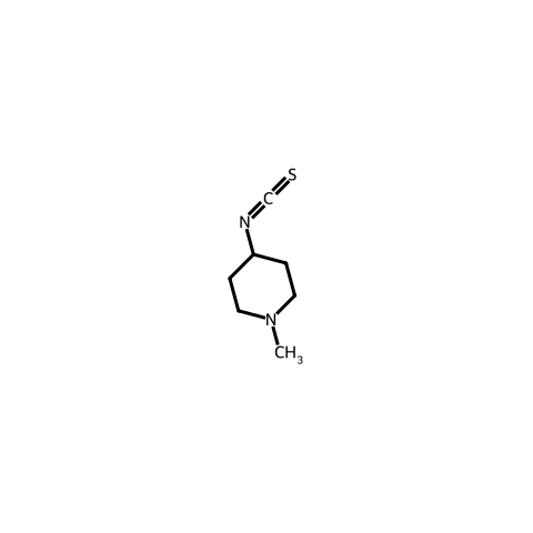 CN1CCC(N=C=S)CC1